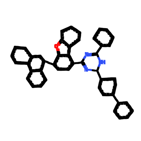 c1ccc(C2=NC(c3ccc(-c4cc5ccccc5c5ccccc45)c4oc5ccccc5c34)=NC(c3ccc(-c4ccccc4)cc3)N2)cc1